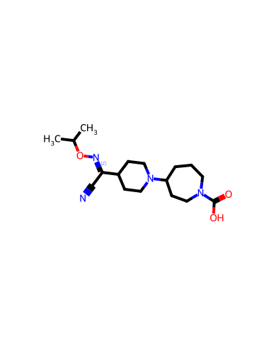 CC(C)O/N=C(\C#N)C1CCN(C2CCCN(C(=O)O)CC2)CC1